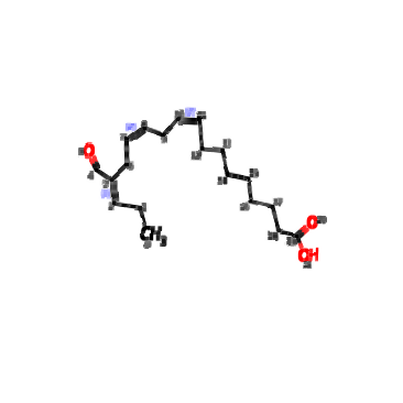 CC/C=C(/C=O)C/C=C\C/C=C\CCCCCCCC(=O)O